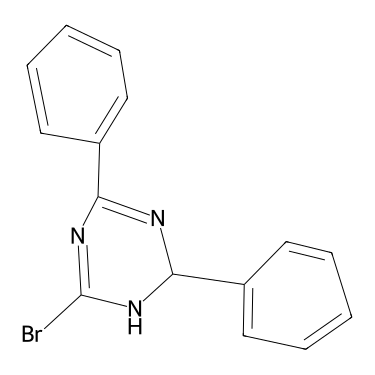 BrC1=NC(c2ccccc2)=NC(c2ccccc2)N1